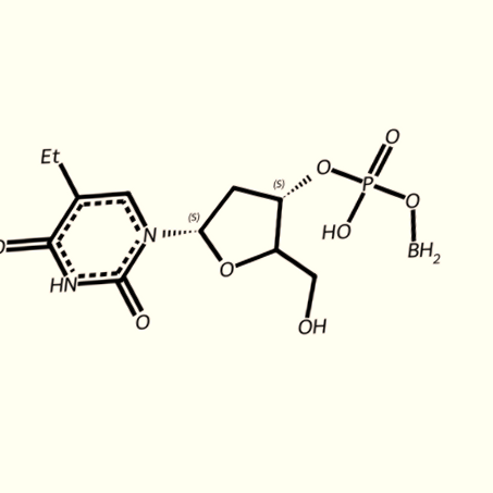 BOP(=O)(O)O[C@H]1C[C@@H](n2cc(CC)c(=O)[nH]c2=O)OC1CO